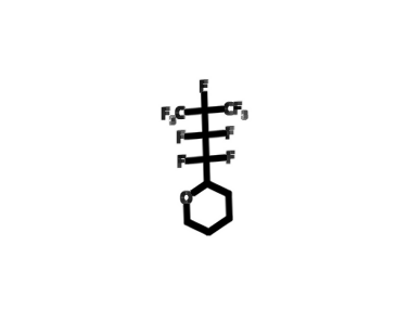 FC(F)(F)C(F)(C(F)(F)F)C(F)(F)C(F)(F)C1CCCCO1